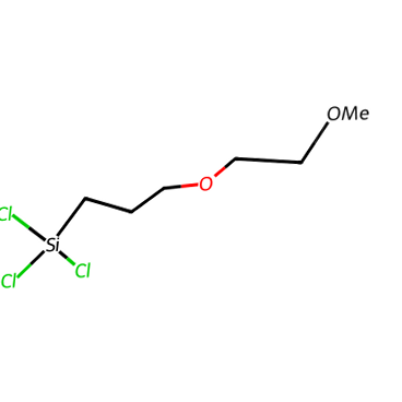 COCCOCCC[Si](Cl)(Cl)Cl